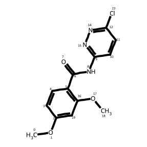 COc1ccc(C(=O)Nc2ccc(Cl)nn2)c(OC)c1